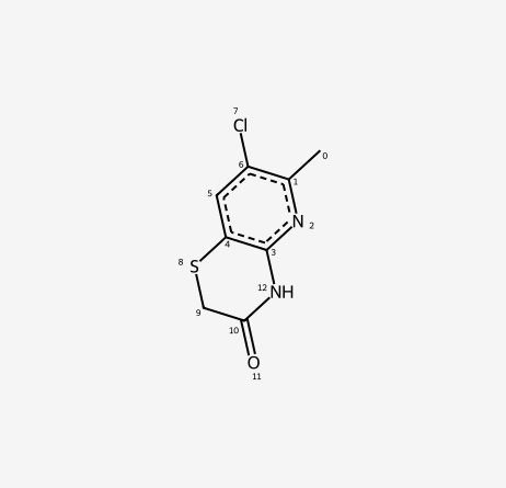 Cc1nc2c(cc1Cl)SCC(=O)N2